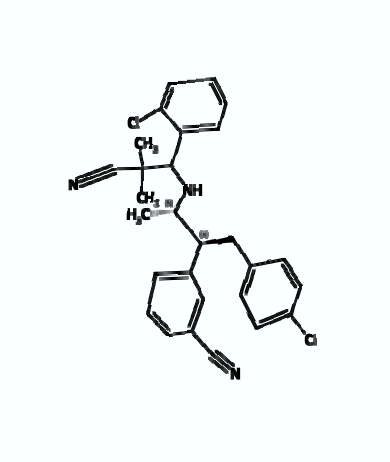 C[C@H](NC(c1ccccc1Cl)C(C)(C)C#N)[C@@H](Cc1ccc(Cl)cc1)c1cccc(C#N)c1